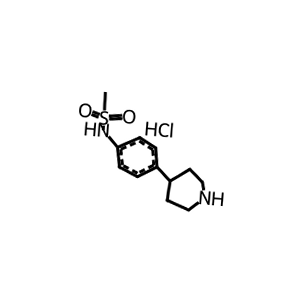 CS(=O)(=O)Nc1ccc(C2CCNCC2)cc1.Cl